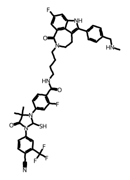 CNCc1ccc(-c2[nH]c3cc(F)cc4c3c2CCN(CCCCNC(=O)c2ccc(N3C(S)N(c5ccc(C#N)c(C(F)(F)F)c5)C(=O)C3(C)C)cc2F)C4=O)cc1